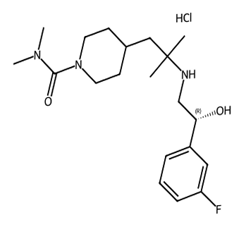 CN(C)C(=O)N1CCC(CC(C)(C)NC[C@H](O)c2cccc(F)c2)CC1.Cl